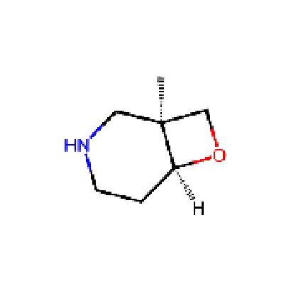 C[C@@]12CNCC[C@@H]1OC2